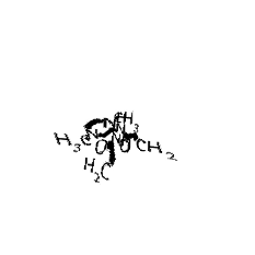 C=CC(=O)NC1(NC(=O)C=C)CN(C)CCN1C